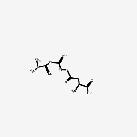 CN(C)C(=N)NC(=N)NOC(=O)CC(N)C(=O)O